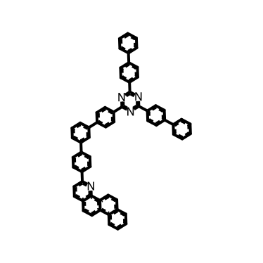 c1ccc(-c2ccc(-c3nc(-c4ccc(-c5ccccc5)cc4)nc(-c4ccc(-c5cccc(-c6ccc(-c7ccc8ccc9c%10ccccc%10ccc9c8n7)cc6)c5)cc4)n3)cc2)cc1